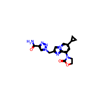 NC(=O)c1cn(Cc2cn3cc(C4CC4)cc(N4CCOC4=O)c3n2)nn1